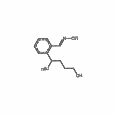 CCCCC(CCCO)c1ccccc1C=NO